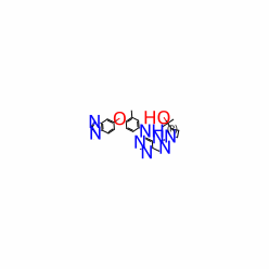 Cc1cc(Nc2ncnc3cnc(N4CC[C@@H]4C(C)(C)O)nc23)ccc1Oc1ccc2c(c1)ncn2C